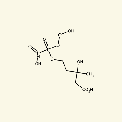 CC(O)(CCOP(=O)(OOO)[PH](=O)O)CC(=O)O